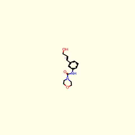 O=C(Nc1cccc(/C=C/CO)c1)N1CCOCC1